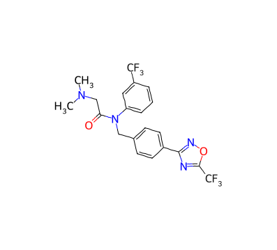 CN(C)CC(=O)N(Cc1ccc(-c2noc(C(F)(F)F)n2)cc1)c1cccc(C(F)(F)F)c1